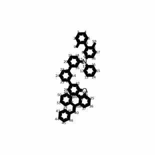 Cc1ccccc1-c1cc(N(c2ccccc2)c2cccc(-c3cccc(-c4ccc5c(c4)oc4cccc(/C(=C/c6ccccc6)c6ccccc6)c45)c3)c2)ccc1C